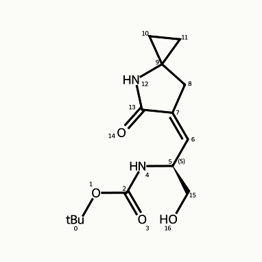 CC(C)(C)OC(=O)N[C@@H](C=C1CC2(CC2)NC1=O)CO